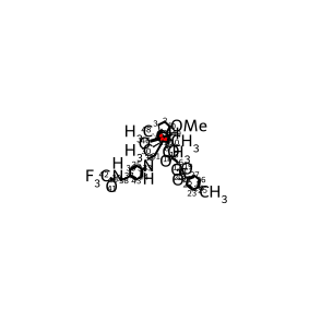 CO[C@@H]1CC[C@]23CC[C@@H](C)[C@](C)([C@H]12)[C@H](OC(=O)COS(=O)(=O)c1ccc(C)cc1)C[C@](C)(CCNc1ccc(CNC(=O)C(F)(F)F)cc1)C(=O)[C@@H]3C